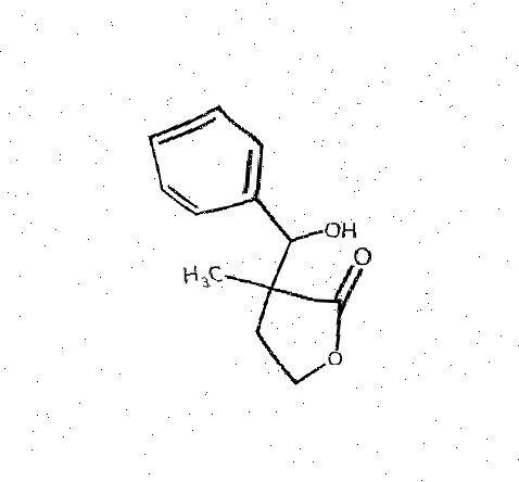 CC1(C(O)c2ccccc2)CCOC1=O